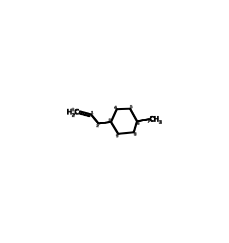 C=CCC1CCC(C)CC1